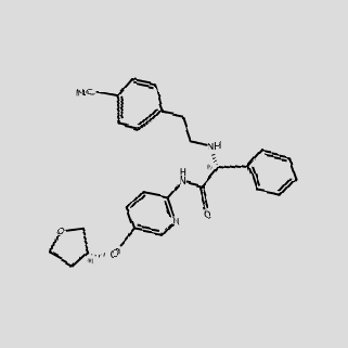 N#Cc1ccc(CCN[C@@H](C(=O)Nc2ccc(O[C@@H]3CCOC3)cn2)c2ccccc2)cc1